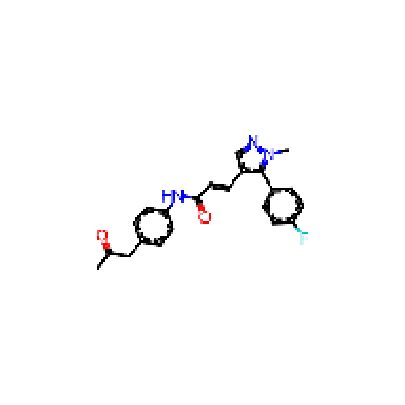 CC(=O)Cc1ccc(NC(=O)C=Cc2cnn(C)c2-c2ccc(F)cc2)cc1